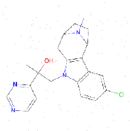 CN1C2CCC1c1c(n(CC(C)(O)c3ccncn3)c3ccc(Cl)cc13)C2